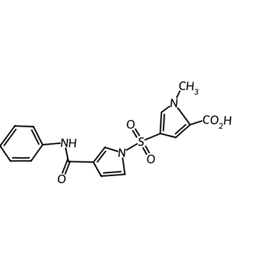 Cn1cc(S(=O)(=O)n2ccc(C(=O)Nc3ccccc3)c2)cc1C(=O)O